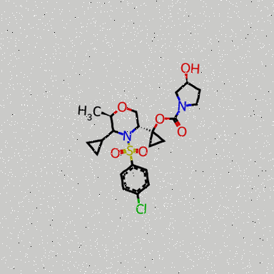 C[C@H]1OC[C@H](C2(OC(=O)N3CC[C@H](O)C3)CC2)N(S(=O)(=O)c2ccc(Cl)cc2)C1C1CC1